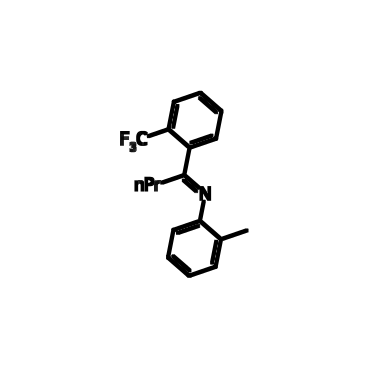 CCC/C(=N\c1ccccc1C)c1ccccc1C(F)(F)F